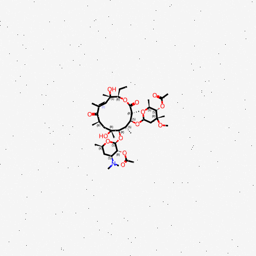 CC[C@H]1OC(=O)[C@H](C)[C@@H](OC2C[C@@](C)(OC)[C@@H](OC(C)=O)[C@H](C)O2)[C@H](C)[C@@H](O[C@@H]2O[C@H](C)C[C@H](N(C)C)[C@H]2OC(C)=O)[C@](C)(O)C[C@@H](C)C(=O)/C(C)=C/[C@]1(C)O